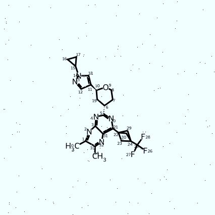 Cc1nc2nc([C@H]3CCO[C@H](c4cnn(C5CC5)c4)C3)nc(C34CC(C(F)(F)F)(C3)C4)c2nc1C